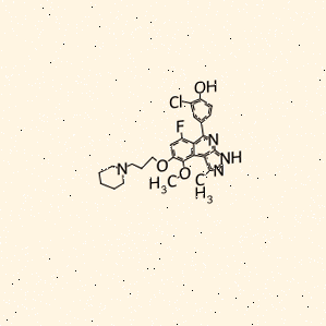 COc1c(OCCCN2CCCCC2)cc(F)c2c(-c3ccc(O)c(Cl)c3)nc3[nH]nc(C)c3c12